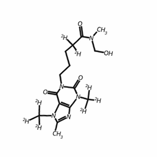 [2H]C([2H])(CCCn1c(=O)c2c(nc(C)n2C([2H])([2H])[2H])n(C([2H])([2H])[2H])c1=O)C(=O)N(C)CO